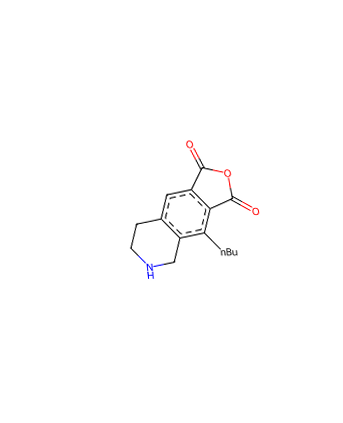 CCCCc1c2c(cc3c1C(=O)OC3=O)CCNC2